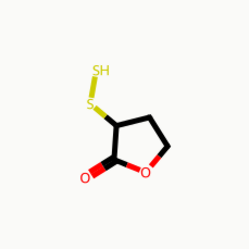 O=C1OCCC1SS